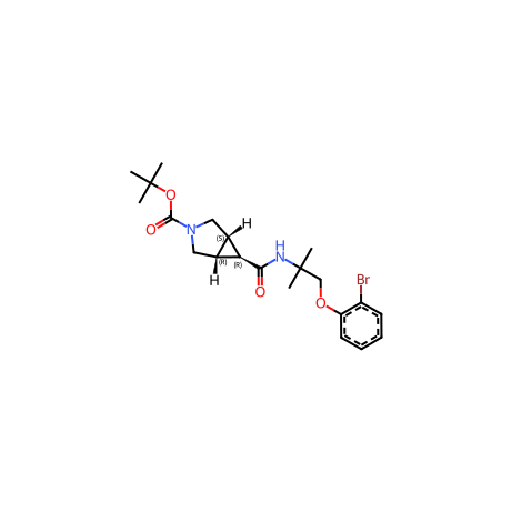 CC(C)(COc1ccccc1Br)NC(=O)[C@H]1[C@@H]2CN(C(=O)OC(C)(C)C)C[C@@H]21